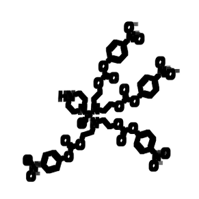 O=C(OCCN(CCOC(=O)Oc1ccc([N+](=O)[O-])cc1)P(=O)(N1CCNCC1)N(CCOC(=O)Oc1ccc([N+](=O)[O-])cc1)CCOC(=O)Oc1ccc([N+](=O)[O-])cc1)Oc1ccc([N+](=O)[O-])cc1